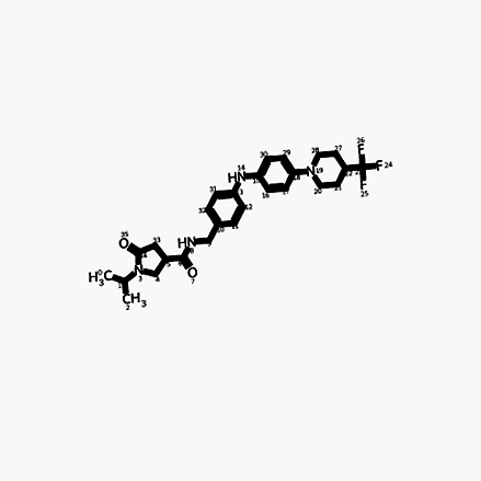 CC(C)N1CC(C(=O)NCc2ccc(Nc3ccc(N4CCC(C(F)(F)F)CC4)cc3)cc2)CC1=O